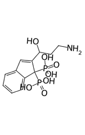 NCCC(O)C1=Cc2ccccc2C1(P(=O)(O)O)P(=O)(O)O